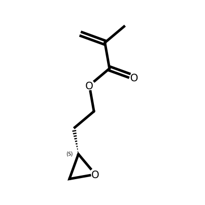 C=C(C)C(=O)OCC[C@H]1CO1